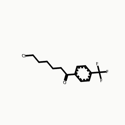 O=C(CCCCCCl)c1ccc(C(F)(F)F)cc1